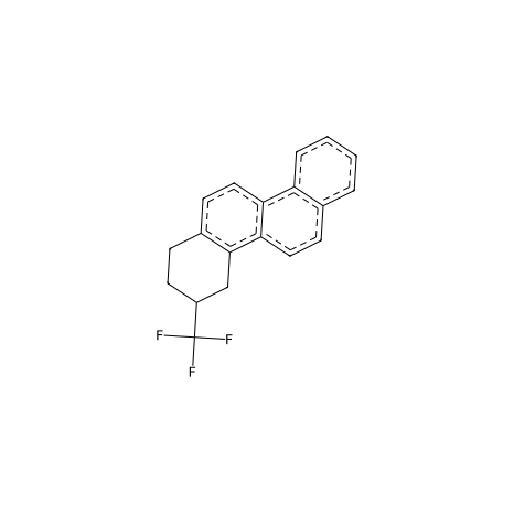 FC(F)(F)C1CCc2ccc3c(ccc4ccccc43)c2C1